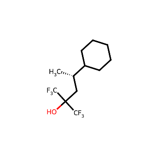 C[C@@H](CC(O)(C(F)(F)F)C(F)(F)F)C1CCCCC1